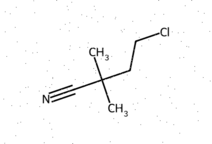 CC(C)(C#N)CCCl